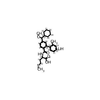 COC(c1ccc(C(=O)NC(CCSC)C(=O)O)c(-c2ccccc2C)c1)C1CCCCC1.[LiH]